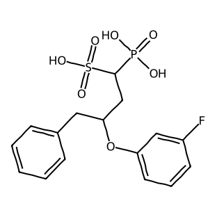 O=P(O)(O)C(CC(Cc1ccccc1)Oc1cccc(F)c1)S(=O)(=O)O